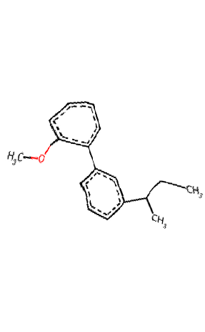 CCC(C)c1cccc(-c2ccccc2OC)c1